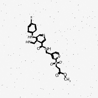 COC(=O)CCS(=O)(=O)c1cc(CNC(=O)c2cncc(Nc3ccc(F)cc3)c2C=N)ccn1